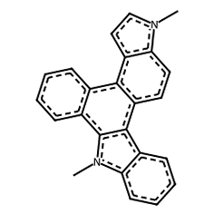 Cn1ccc2c3c4ccccc4c4c(c3ccc21)c1ccccc1n4C